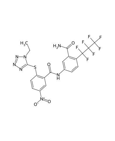 CCn1nnnc1Sc1ccc([N+](=O)[O-])cc1C(=O)Nc1ccc(C(F)(F)C(F)(F)C(F)(F)F)c(C(N)=O)c1